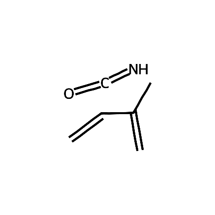 C=CC(=C)C.N=C=O